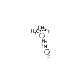 CC(C)(C)[C@H]1CC[C@H](N2CCN(c3ccc(F)cc3)CC2)CC1